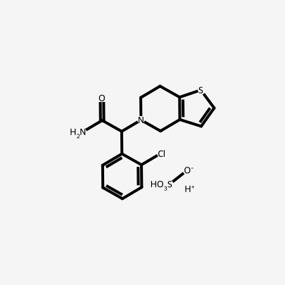 NC(=O)C(c1ccccc1Cl)N1CCc2sccc2C1.O=S(=O)([O-])O.[H+]